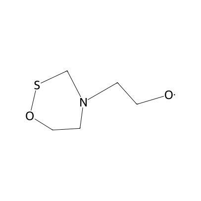 [O]CCN1CCOSC1